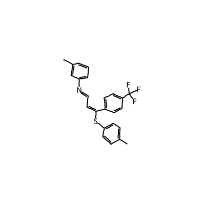 Cc1ccc(SC(=CC=Nc2cccc(C)c2)c2ccc(C(F)(F)F)cc2)cc1